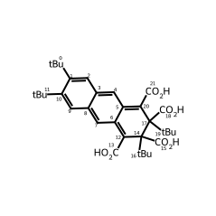 CC(C)(C)c1cc2cc3c(cc2cc1C(C)(C)C)=C(C(=O)O)C(C(=O)O)(C(C)(C)C)C(C(=O)O)(C(C)(C)C)C=3C(=O)O